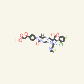 COC(=O)C1=C(CN2CCN3C(=O)N(c4ccc(C(=O)CC(=O)O)cc4)C[C@@H]3C2)NC(c2nccs2)=N[C@H]1c1ccc(F)cc1Cl